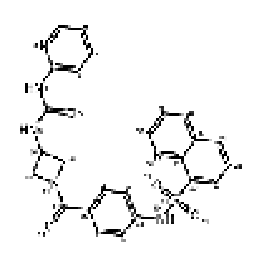 O=C(Nc1ccccn1)NC1CN(C(=O)c2ccc(NS(=O)(=O)c3cccc4cccnc34)cc2)C1